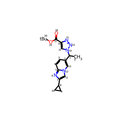 CC(c1ccc2nc(C3CC3)cn2c1)n1cc(C(=O)OC(C)(C)C)nn1